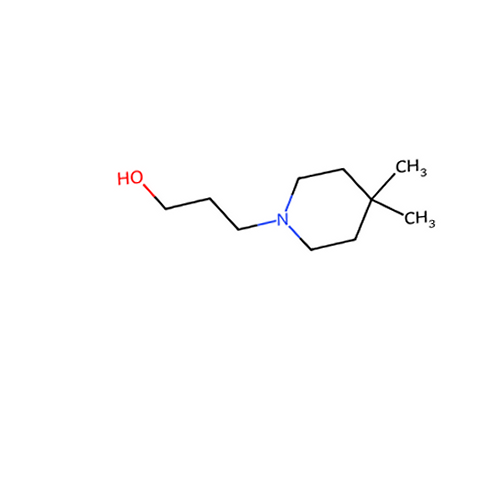 CC1(C)CCN(CCCO)CC1